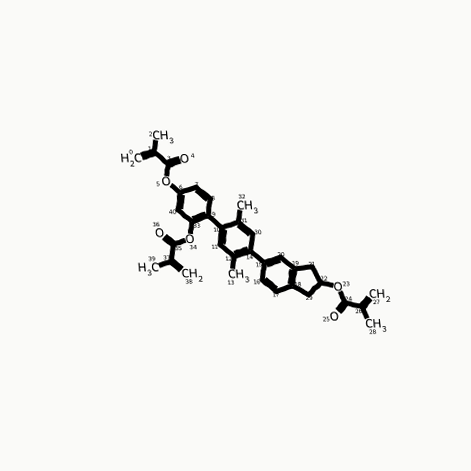 C=C(C)C(=O)Oc1ccc(-c2cc(C)c(-c3ccc4c(c3)CC(OC(=O)C(=C)C)C4)cc2C)c(OC(=O)C(=C)C)c1